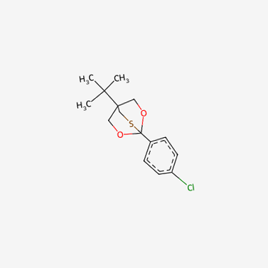 CC(C)(C)C12COC(c3ccc(Cl)cc3)(OC1)SC2